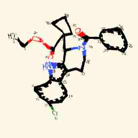 CCOC(=O)C1(C2c3[nH]c4ccc(Cl)cc4c3CCN2C(=O)c2ccccc2)CCC1